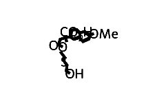 COc1ccc2cc(C(C)(CC(=O)OCCSCCO)C(=O)O)ccc2c1